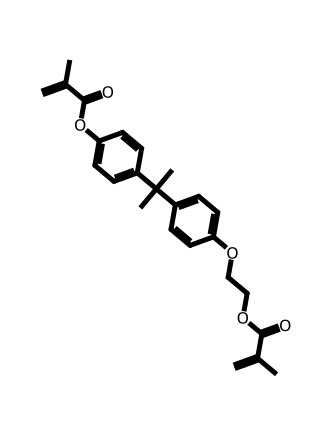 C=C(C)C(=O)OCCOc1ccc(C(C)(C)c2ccc(OC(=O)C(=C)C)cc2)cc1